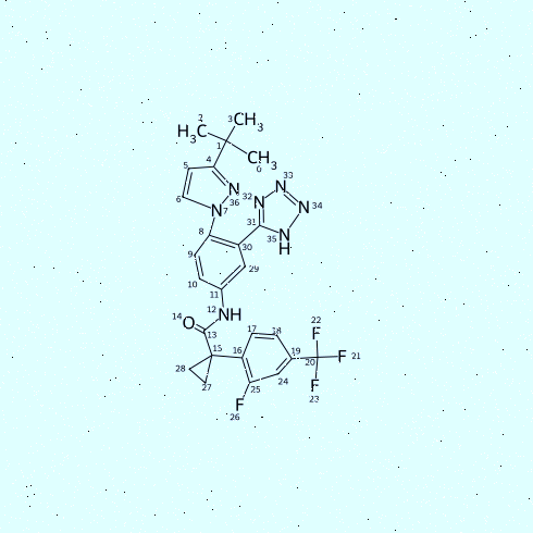 CC(C)(C)c1ccn(-c2ccc(NC(=O)C3(c4ccc(C(F)(F)F)cc4F)CC3)cc2-c2nnn[nH]2)n1